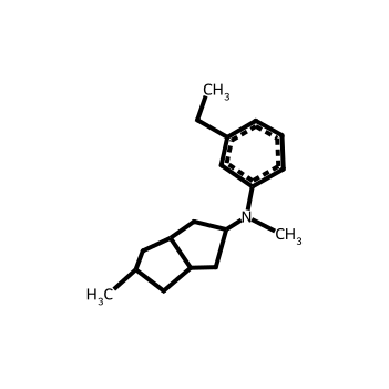 CCc1cccc(N(C)C2CC3CC(C)CC3C2)c1